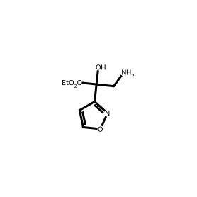 CCOC(=O)C(O)(CN)c1ccon1